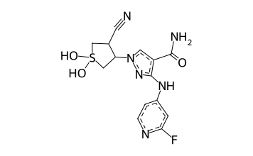 N#CC1CS(O)(O)CC1n1cc(C(N)=O)c(Nc2ccnc(F)c2)n1